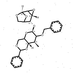 C[C@@H]1C(OCc2ccccc2)[C@H](O[C@@H]2C3CO[C@H](O3)C3O[C@@H]32)OC2COC(c3ccccc3)O[C@H]21